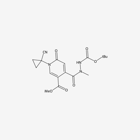 COC(=O)c1cn(C2(C#N)CC2)c(=O)cc1C(=O)N(C)NC(=O)OC(C)(C)C